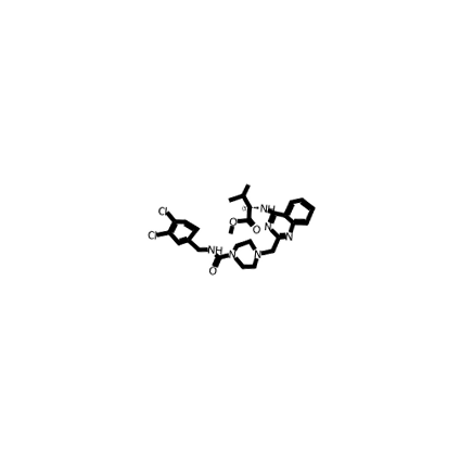 COC(=O)[C@@H](Nc1nc(CN2CCN(C(=O)NCc3ccc(Cl)c(Cl)c3)CC2)nc2ccccc12)C(C)C